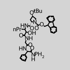 CCCC(NC(=O)[C@@H]1C[C@@H](OC(C)(C)C)CN1C(=O)OCC1c2ccccc2-c2ccccc21)C(O)C(=O)NCC(=O)N[C@H](C(=O)NP)c1ccccc1